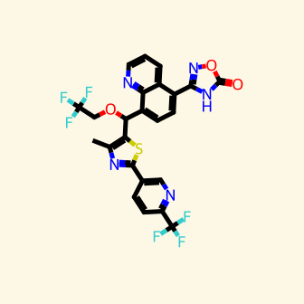 Cc1nc(-c2ccc(C(F)(F)F)nc2)sc1C(OCC(F)(F)F)c1ccc(-c2noc(=O)[nH]2)c2cccnc12